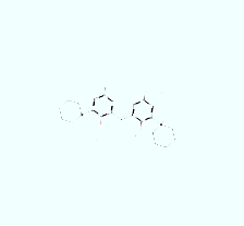 COc1c(Cc2cc(C)cc(C3(C)CCCCC3)c2O)cc(C)cc1C1(C)CCCCC1